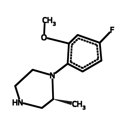 COc1cc(F)ccc1N1CCNC[C@H]1C